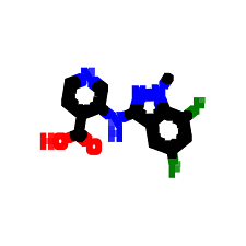 Cn1nc(Nc2cnccc2C(=O)O)c2cc(F)cc(F)c21